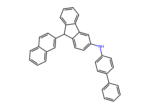 c1ccc(-c2ccc(Nc3ccc4c(c3)-c3ccccc3C4c3ccc4ccccc4c3)cc2)cc1